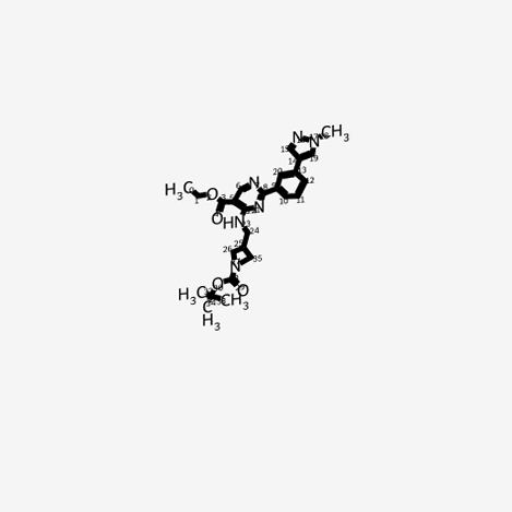 CCOC(=O)c1cnc(-c2cccc(-c3cnn(C)c3)c2)nc1NCC1CN(C(=O)OC(C)(C)C)C1